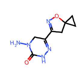 NN1CC(C2=NOC3(CC3)C2)=NNC1=O